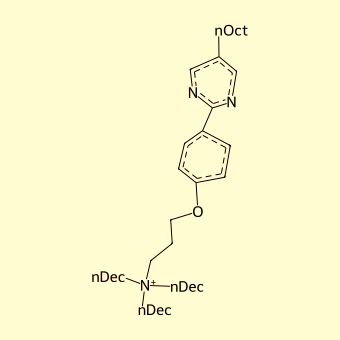 CCCCCCCCCC[N+](CCCCCCCCCC)(CCCCCCCCCC)CCCOc1ccc(-c2ncc(CCCCCCCC)cn2)cc1